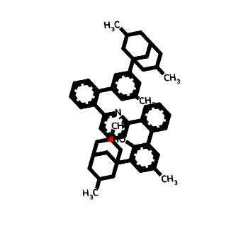 Cc1cc(-c2ccccc2-c2cccc(-c3ccccc3-c3cc(C)cc(C45CC(C)CC(CC(C)C4)C5)c3O)n2)cc(C23CC(C)CC(CC(C)C2)C3)c1